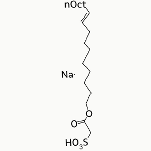 CCCCCCCCC=CCCCCCCCCOC(=O)CS(=O)(=O)O.[Na]